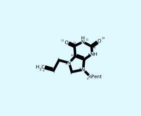 C=CCN1CN(CCCCC)c2[nH]c(=O)[nH]c(=O)c21